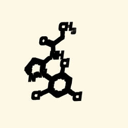 CCC(=O)Nc1ccnn1-c1c(Cl)cc(Cl)cc1Cl